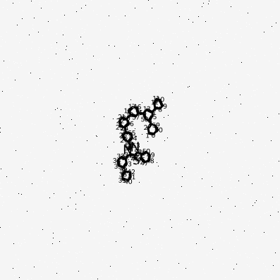 c1ccc(-c2cc(-c3ccccc3)cc(-c3cccc(-c4cccc(-c5ccc(-c6nc(-c7cccc(-c8ccccc8)c7)c7sc8ccccc8c7n6)cc5)c4)c3)c2)cc1